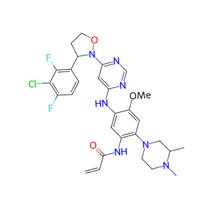 C=CC(=O)Nc1cc(Nc2cc(N3OCCC3c3ccc(F)c(Cl)c3F)ncn2)c(OC)cc1N1CCN(C)C(C)C1